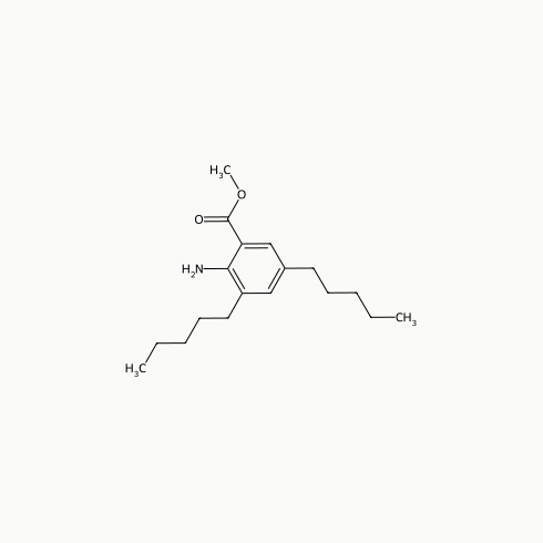 CCCCCc1cc(CCCCC)c(N)c(C(=O)OC)c1